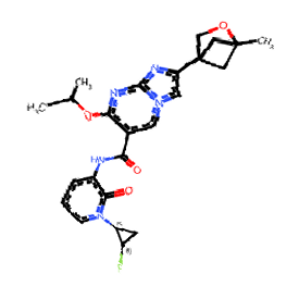 CC(C)Oc1nc2nc(C34COC(C)(C3)C4)cn2cc1C(=O)Nc1cccn([C@H]2C[C@H]2F)c1=O